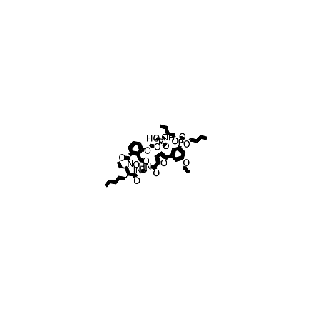 CCCCC[C@@H](C(=O)NCNC(=O)c1ccc(-c2cc(OCC)cc(P(=O)(OCCCC)OCCCC)c2)o1)[C@@H](CC)N(C=O)OC(=O)c1c(C)cccc1OCOP(=O)(O)O